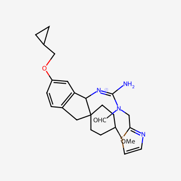 COC1CCC2(CC1)Cc1ccc(OCC3CC3)cc1C2/N=C(/N)N(C=O)Cc1nccs1